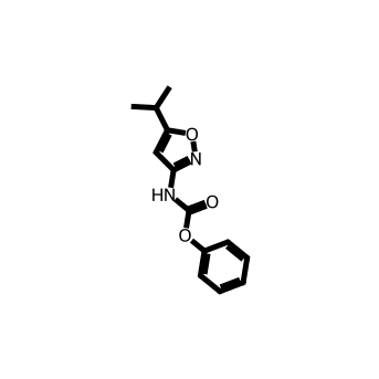 CC(C)c1cc(NC(=O)Oc2ccccc2)no1